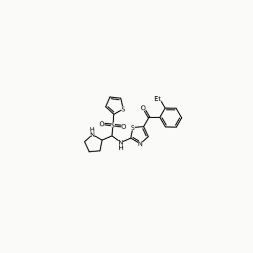 CCc1ccccc1C(=O)c1cnc(NC(C2CCCN2)S(=O)(=O)c2cccs2)s1